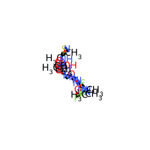 Cc1ncsc1-c1ccc([C@H](C)NC(=O)[C@@H]2C[C@@H](O)CN2C(=O)[C@@H](NC(=O)c2ccc(N3CCCC(C(=O)N4CCN(c5ncc(-c6cc(NC(=O)c7ccc(F)cc7C(F)(F)F)c(N7C[C@@H](C)N(C)[C@@H](C)C7)cc6F)cn5)CC4)C3)cc2)C(C)(C)C)cc1